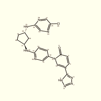 O=c1ccc(-c2nnn[nH]2)cn1-c1ccc(N[C@H]2CC[C@H](Nc3cnc(Cl)cn3)C2)nc1